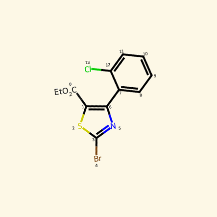 CCOC(=O)c1sc(Br)nc1-c1ccccc1Cl